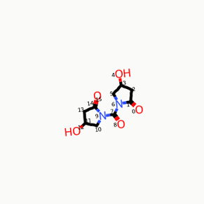 O=C1CC(O)CN1C(=O)N1CC(O)CC1=O